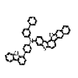 c1ccc(-c2cccc(N(c3ccc(-c4cccc5c4oc4ccccc45)cc3)c3ccc4c(c3)sc3ccc5c6cc7ccccc7cc6oc5c34)c2)cc1